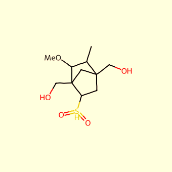 COC1C(C)C2(CO)CC([SH](=O)=O)C1(CO)C2